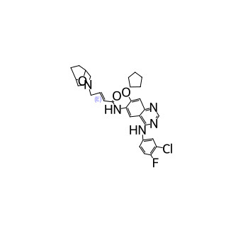 O=C(/C=C/CN1CC2CCC(C1)O2)Nc1cc2c(Nc3ccc(F)c(Cl)c3)ncnc2cc1OC1CCCC1